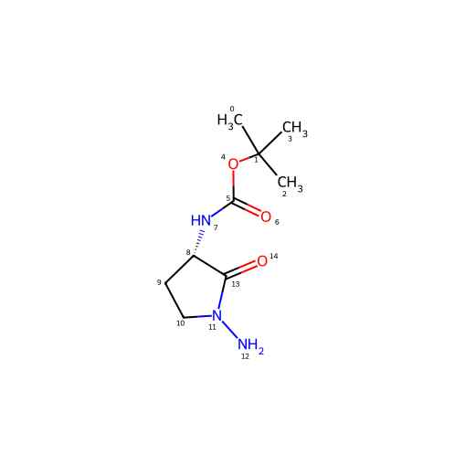 CC(C)(C)OC(=O)N[C@H]1CCN(N)C1=O